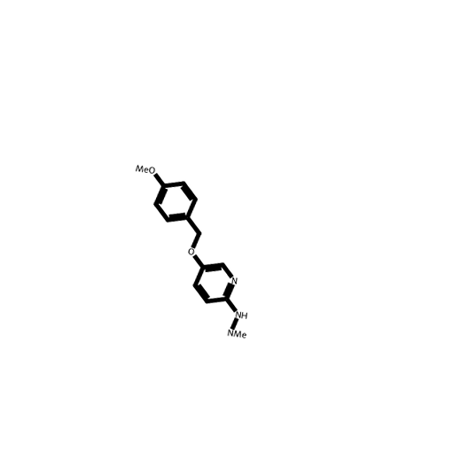 CNNc1ccc(OCc2ccc(OC)cc2)cn1